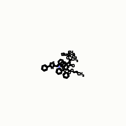 C=CCOC(=O)C(N1C(=O)[C@H]([C@@H](C)O[Si](C)(C)C(C)(C)C)[C@H]1[C@H]1CCC/C(=C\c2nc(-c3ccccc3)cs2)C1=O)=P(c1ccccc1)(c1ccccc1)c1ccccc1